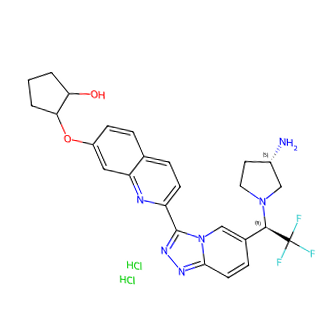 Cl.Cl.N[C@H]1CCN([C@H](c2ccc3nnc(-c4ccc5ccc(OC6CCCC6O)cc5n4)n3c2)C(F)(F)F)C1